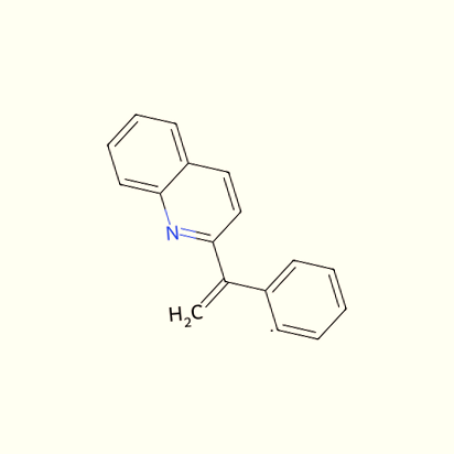 C=C(c1[c]cccc1)c1ccc2ccccc2n1